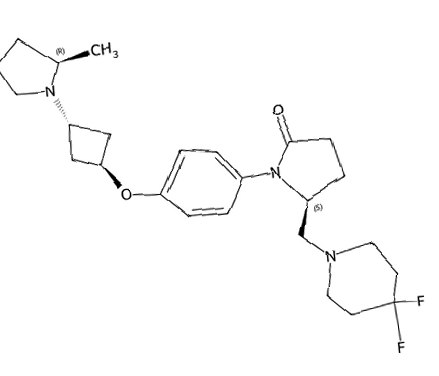 C[C@@H]1CCCN1[C@H]1C[C@H](Oc2ccc(N3C(=O)CC[C@H]3CN3CCC(F)(F)CC3)cc2)C1